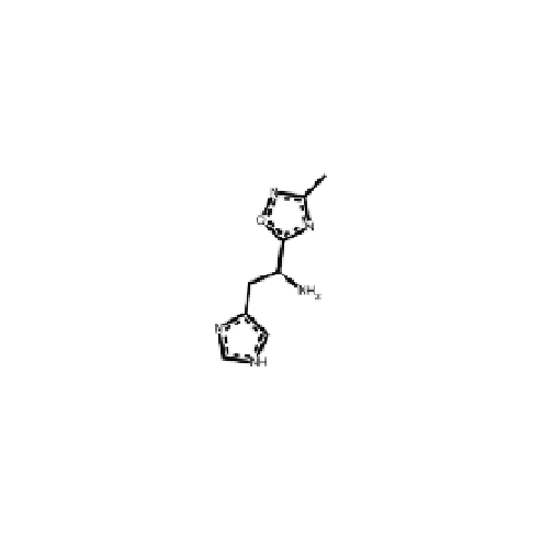 Cc1noc([C@@H](N)Cc2c[nH]cn2)n1